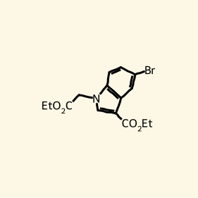 CCOC(=O)Cn1cc(C(=O)OCC)c2cc(Br)ccc21